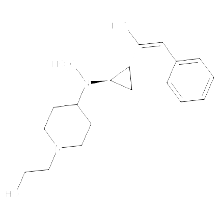 CC(=Cc1ccccc1)[C@@H]1C[C@H]1N(C(=O)O)C1CCN(CCO)CC1